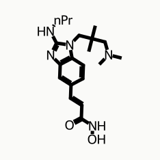 CCCNc1nc2cc(/C=C/C(=O)NO)ccc2n1CC(C)(C)CN(C)C